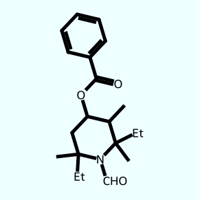 CCC1(C)CC(OC(=O)c2ccccc2)C(C)C(C)(CC)N1C=O